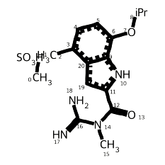 CS(=O)(=O)O.Cc1ccc(OC(C)C)c2[nH]c(C(=O)N(C)C(=N)N)cc12